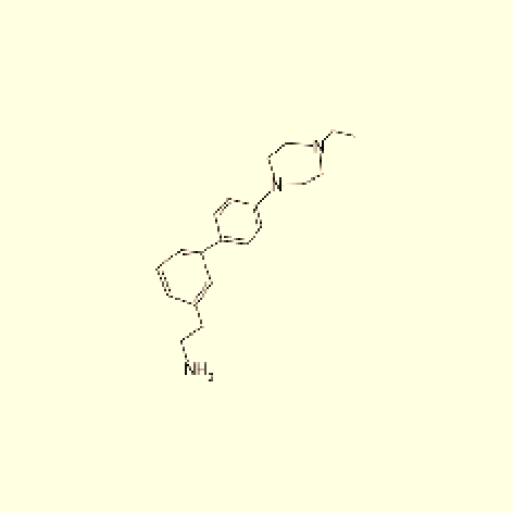 CCN1CCN(c2ccc(-c3cccc(CCN)c3)cc2)CC1